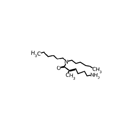 CCCCCCN(CCCCCC)C(=O)C(C)=CCCCN